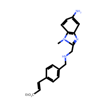 CCOC(=O)/C=C/c1ccc(CNCc2nc3cc(N)ccc3n2C)cc1